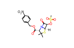 CC1(C)S[C@@H]2[C@H](OS(C)(=O)=O)C(=O)N2[C@H]1C(=O)OCc1ccc([N+](=O)[O-])cc1